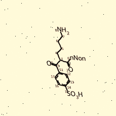 CCCCCCCCCC(=O)C(CCCCN)C(=O)c1ccc(S(=O)(=O)O)cc1